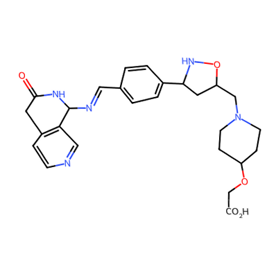 O=C(O)COC1CCN(CC2CC(c3ccc(C=NC4NC(=O)Cc5ccncc54)cc3)NO2)CC1